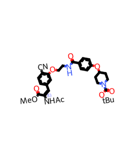 COC(=O)/C(=C\c1ccc(C#N)c(OCCNC(=O)c2ccc(OC3CCN(C(=O)OC(C)(C)C)CC3)cc2)c1)NC(C)=O